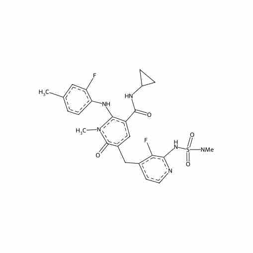 CNS(=O)(=O)Nc1nccc(Cc2cc(C(=O)NC3CC3)c(Nc3ccc(C)cc3F)n(C)c2=O)c1F